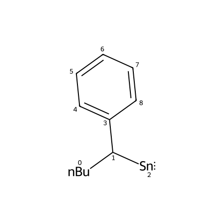 CCCC[CH]([Sn])c1ccccc1